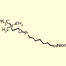 CCCCCCCCCCCCCCCC[P-]OCC[N+](C)(C)C